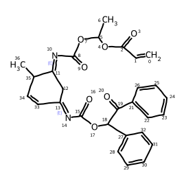 C=CC(=O)OC(C)OC(=O)/N=C1\C/C(=N\C(=O)OC(C(=O)c2ccccc2)c2ccccc2)C=CC1C